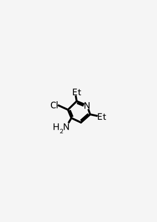 CCc1cc(N)c(Cl)c(CC)n1